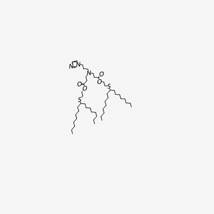 CCCCCCCCC(CCCCCCCC)SCCOC(=O)CCN(CCCn1ccnc1)CCC(=O)OCCSC(CCCCCCCC)CCCCCCCC